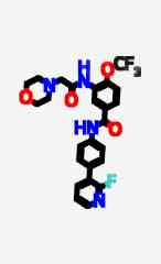 O=C(CN1CCOCC1)Nc1cc(C(=O)Nc2ccc(-c3cccnc3F)cc2)ccc1OC(F)(F)F